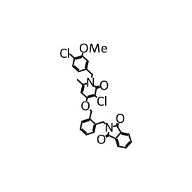 COc1cc(Cn2c(C)cc(OCc3ccccc3CN3C(=O)c4ccccc4C3=O)c(Cl)c2=O)ccc1Cl